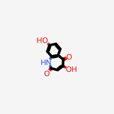 O=c1cc(O)c(=O)c2ccc(O)cc2[nH]1